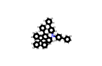 c1ccc(-c2ccc(N(c3ccc(-c4ccccc4)cc3)c3cccc4c5c(c(-c6ccccc6)cc34)-c3ccccc3C5(c3ccccc3)c3ccccc3)cc2)cc1